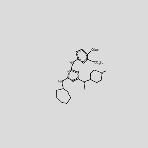 CCOC(=O)c1cc(Nc2nc(NC3CCCCCC3)nc(N(C)C3CCN(C)CC3)n2)ccc1OC